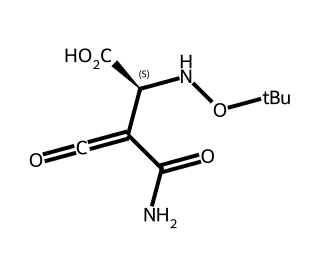 CC(C)(C)ON[C@H](C(=O)O)C(=C=O)C(N)=O